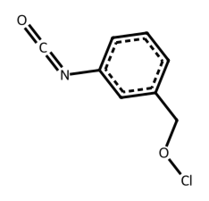 O=C=Nc1cccc(COCl)c1